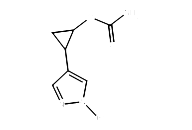 CC(C)n1cc(C2CC2OC(N)=O)cn1